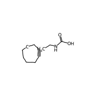 C1#CCCCCCC1.CCNC(=O)O